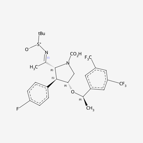 C/C(=N\[S+]([O-])C(C)(C)C)[C@H]1[C@H](c2ccc(F)cc2)[C@@H](O[C@H](C)c2cc(C(F)(F)F)cc(C(F)(F)F)c2)CN1C(=O)O